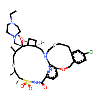 CCN1CCN(C[C@]2(OC)C(C)CC[C@H](C)[C@@H](C)S(=O)(=O)NC(=O)c3ccc4c(n3)N(CCCCc3cc(Cl)ccc3CO4)C[C@@H]3CC[C@H]32)CC1